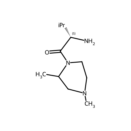 CC(C)[C@H](N)C(=O)N1CCN(C)CC1C